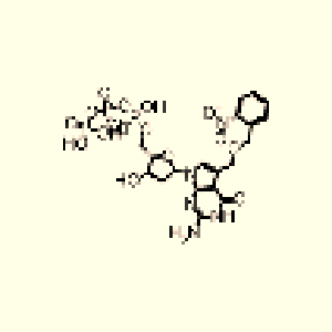 Nc1nc2c(c(COCc3ccccc3[N+](=O)[O-])cn2[C@H]2C[C@@H](O)[C@@H](COP(=O)(O)OP(=O)(O)OP(=O)(O)O)O2)c(=O)[nH]1